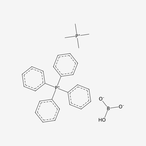 C[P+](C)(C)C.[O-]B([O-])O.c1ccc([P+](c2ccccc2)(c2ccccc2)c2ccccc2)cc1